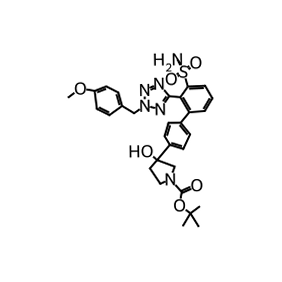 COc1ccc(Cn2nnc(-c3c(-c4ccc(C5(O)CCN(C(=O)OC(C)(C)C)C5)cc4)cccc3S(N)(=O)=O)n2)cc1